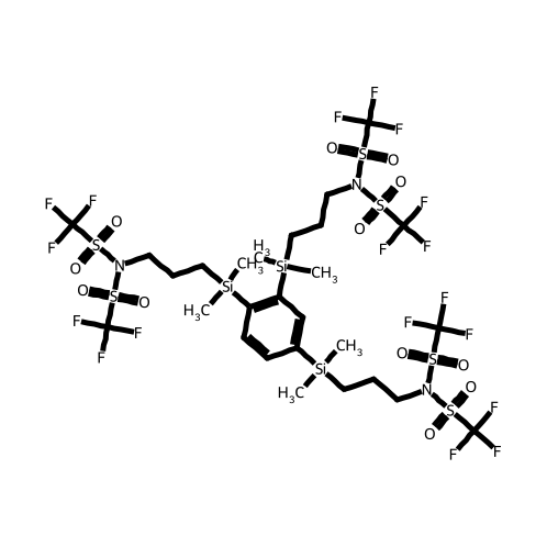 C[Si](C)(CCCN(S(=O)(=O)C(F)(F)F)S(=O)(=O)C(F)(F)F)c1ccc([Si](C)(C)CCCN(S(=O)(=O)C(F)(F)F)S(=O)(=O)C(F)(F)F)c([Si](C)(C)CCCN(S(=O)(=O)C(F)(F)F)S(=O)(=O)C(F)(F)F)c1